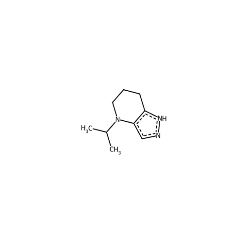 CC(C)N1CCCc2[nH]ncc21